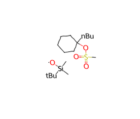 CC(C)(C)[Si](C)(C)[O].CCCCC1(OS(C)(=O)=O)CCCCC1